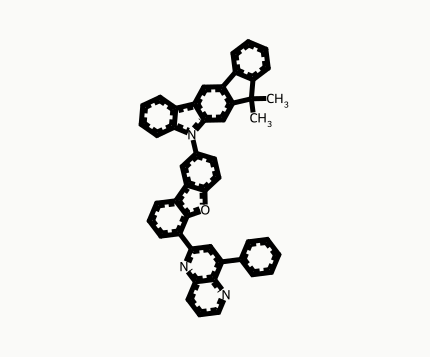 CC1(C)c2ccccc2-c2cc3c4ccccc4n(-c4ccc5oc6c(-c7cc(-c8ccccc8)c8ncccc8n7)cccc6c5c4)c3cc21